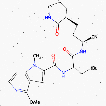 COc1nccc2c1cc(C(=O)N[C@@H](CC(C)(C)C)C(=O)N[C@H](C#N)CC[C@@H]1CCCNC1=O)n2C